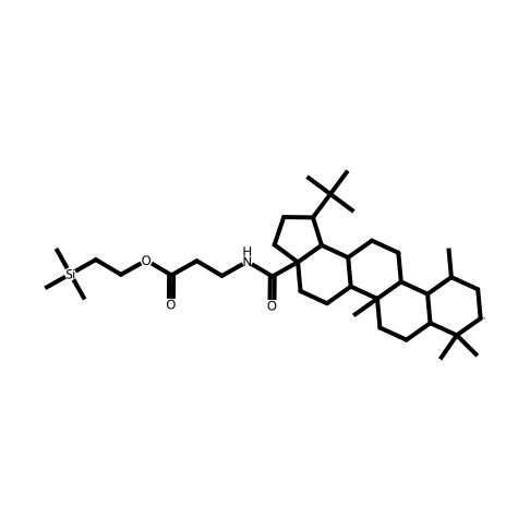 CC1C[CH]C(C)(C)C2CCC3(C)C4CCC5(C(=O)NCCC(=O)OCC[Si](C)(C)C)CCC(C(C)(C)C)C5C4CCC3C12